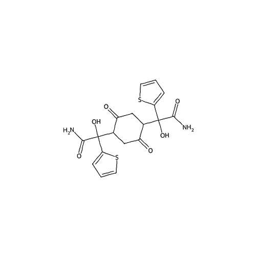 NC(=O)C(O)(c1cccs1)C1CC(=O)C(C(O)(C(N)=O)c2cccs2)CC1=O